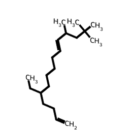 C=CCCC(CC)CCCCC=CC(C)CC(C)(C)C